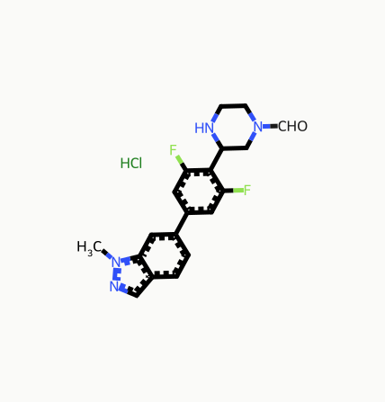 Cl.Cn1ncc2ccc(-c3cc(F)c(C4CN(C=O)CCN4)c(F)c3)cc21